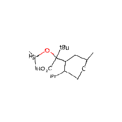 CC1CCC(C(C)C)C(C(O[SiH](C)C)(C(=O)O)C(C)(C)C)C1